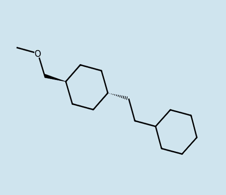 COC[C@H]1CC[C@H](CCC2CCCCC2)CC1